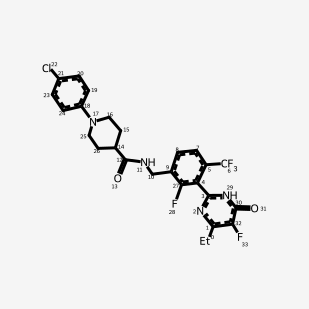 CCc1nc(-c2c(C(F)(F)F)ccc(CNC(=O)C3CCN(c4ccc(Cl)cc4)CC3)c2F)[nH]c(=O)c1F